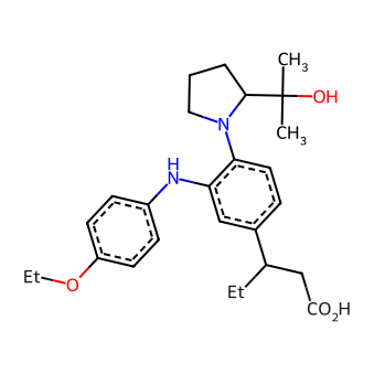 CCOc1ccc(Nc2cc(C(CC)CC(=O)O)ccc2N2CCCC2C(C)(C)O)cc1